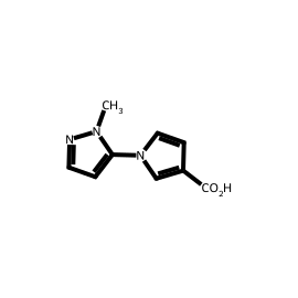 Cn1nccc1-n1ccc(C(=O)O)c1